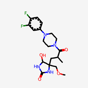 COCC1(CC(C)C(=O)N2CCN(c3ccc(F)c(F)c3)CC2)NC(=O)NC1O